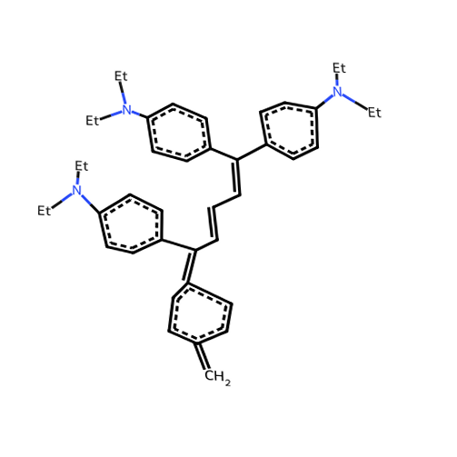 C=c1ccc(=C(C=CC=C(c2ccc(N(CC)CC)cc2)c2ccc(N(CC)CC)cc2)c2ccc(N(CC)CC)cc2)cc1